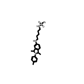 Cc1ccc(N2C(C)c3ccc(NCCCCCNS(=O)(=O)C(C)C)cc3C2C)cc1